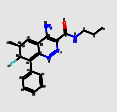 CCCNC(=O)c1nnc2c(c1N)=C[C@H](C)C(F)C=2c1ccccc1